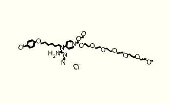 COCCOCCOCCOCCOCCOCCOC(OC=O)[n+]1ccc(N(CCCCCCOc2ccc(Cl)cc2)C(N)=NC#N)cc1.[Cl-]